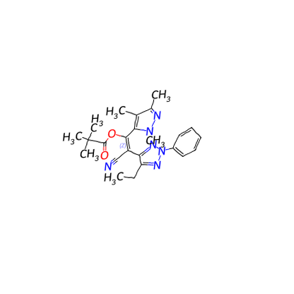 CCc1nn(-c2ccccc2)nc1/C(C#N)=C(/OC(=O)C(C)(C)C)c1c(C)c(C)nn1C